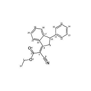 CCOC(=O)/C(C#N)=C1/CC(c2ccccc2)c2ccccc21